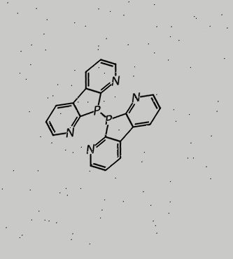 c1cnc2c(c1)c1cccnc1p2-p1c2ncccc2c2cccnc21